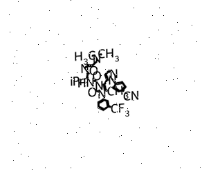 Cc1c(-c2ccnn2-c2ccc(C#N)cc2)n(C(=O)N[C@H](c2ncc(CN(C)C)o2)C(C)C)c(=O)n1-c1cccc(C(F)(F)F)c1